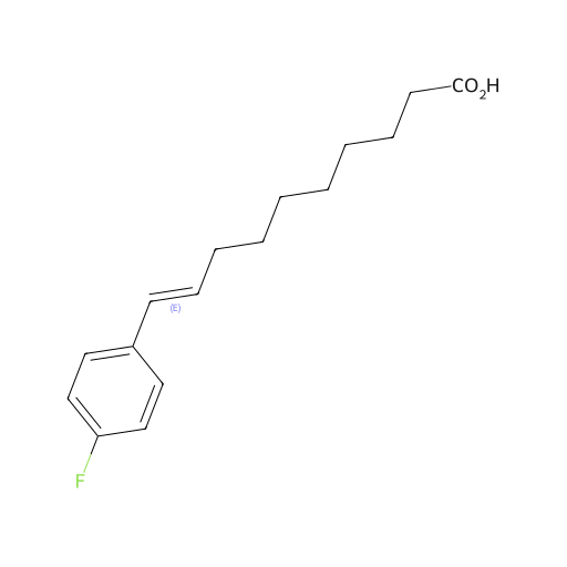 O=C(O)CCCCCCC/C=C/c1ccc(F)cc1